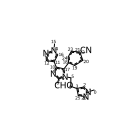 Cn1cc(CCn2c(C=O)nc(-c3cnn(C)c3)c2-c2ccc(C#N)cc2)cn1